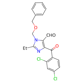 CCc1nc(C(=O)c2ccc(Cl)cc2Cl)c(C=O)n1COCc1ccccc1